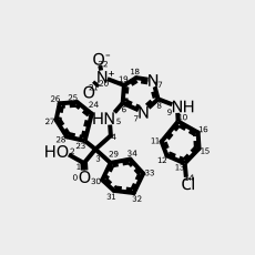 O=C(O)C(CNc1nc(Nc2ccc(Cl)cc2)ncc1[N+](=O)[O-])(c1ccccc1)c1ccccc1